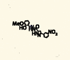 COc1cccc(/C=N/NC(=O)c2cc(-c3cccc([N+](=O)[O-])c3)n[nH]2)c1O